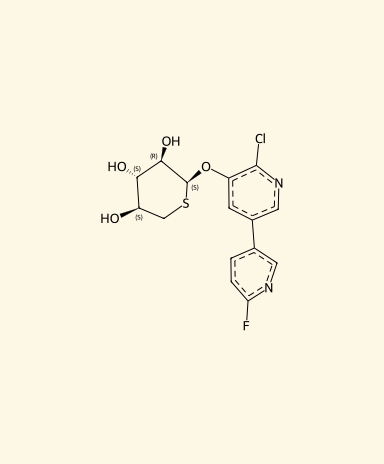 O[C@@H]1[C@@H](O)[C@@H](Oc2cc(-c3ccc(F)nc3)cnc2Cl)SC[C@H]1O